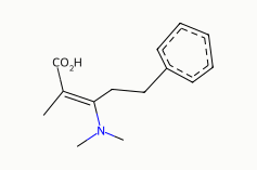 C/C(C(=O)O)=C(/CCc1ccccc1)N(C)C